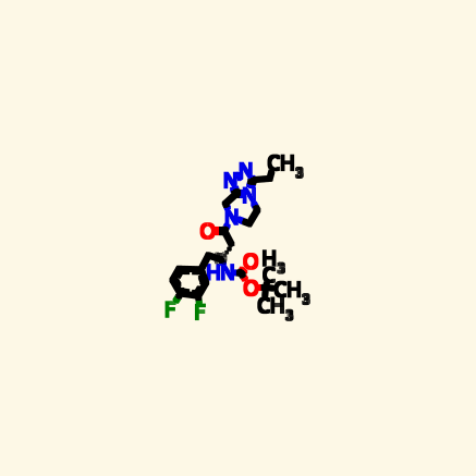 CCc1nnc2n1CCN(C(=O)C[C@@H](Cc1ccc(F)c(F)c1)NC(=O)OC(C)(C)C)C2